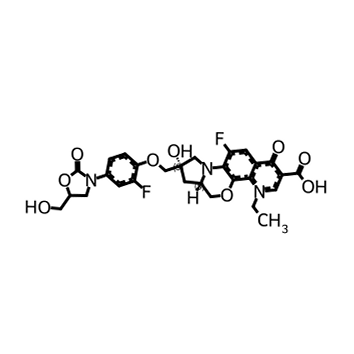 CCn1cc(C(=O)O)c(=O)c2cc(F)c3c(c21)OC[C@@H]1C[C@@](O)(COc2ccc(N4CC(CO)OC4=O)cc2F)CN31